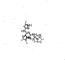 Cc1cc(Nc2nc(N[C@@H]3CCC4CC[C@@H](C3)N4CCC#N)nc3c(C)csc23)n[nH]1